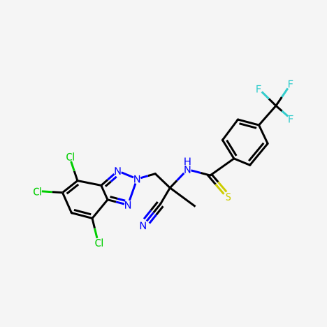 CC(C#N)(Cn1nc2c(Cl)cc(Cl)c(Cl)c2n1)NC(=S)c1ccc(C(F)(F)F)cc1